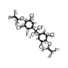 FC(F)=C(F)Oc1c(Cl)cc(C(c2cc(Cl)c(OC(F)=C(F)F)c(Cl)c2)(C(F)(F)F)C(F)(F)F)cc1Cl